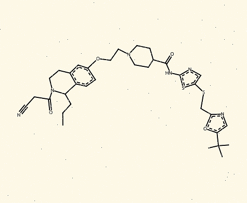 CCCC1c2ccc(OCCN3CCC(C(=O)Nc4ncc(SCc5ncc(C(C)(C)C)o5)s4)CC3)cc2CCN1C(=O)CC#N